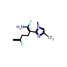 C=C(F)CC/C(=C(\N)F)c1nc(C(F)(F)F)cn1C